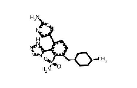 C[C@H]1CC[C@@H](Cc2ccc(-c3ccc(N)nc3)c(-c3nnn[nH]3)c2S(N)(=O)=O)CC1